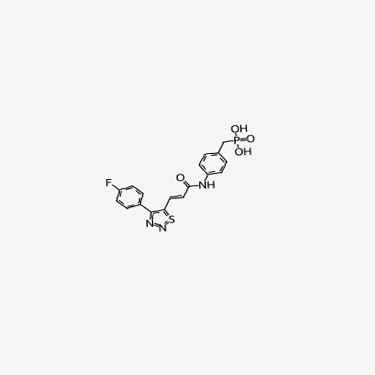 O=C(C=Cc1snnc1-c1ccc(F)cc1)Nc1ccc(CP(=O)(O)O)cc1